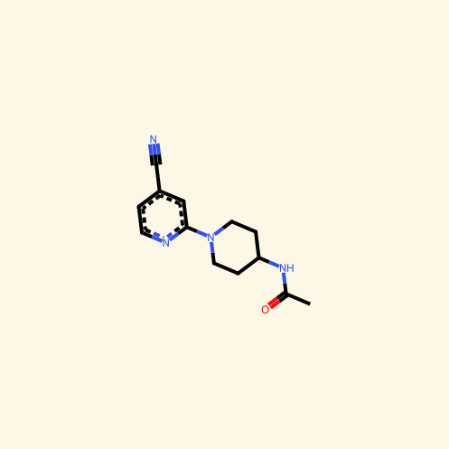 CC(=O)NC1CCN(c2cc(C#N)ccn2)CC1